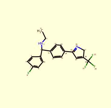 CCNC(c1ccc(F)cc1)c1ccc(C2=NCC(C(F)(F)F)=C2)cc1